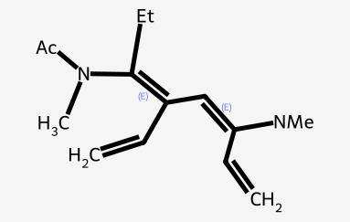 C=C/C(=C\C(C=C)=C(/CC)N(C)C(C)=O)NC